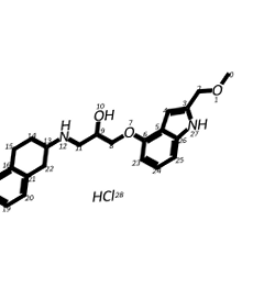 COCc1cc2c(OCC(O)CNC3CCc4ccccc4C3)cccc2[nH]1.Cl